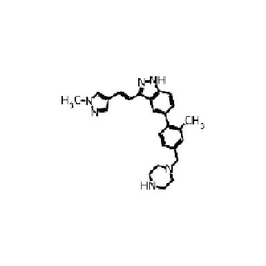 Cc1cc(CN2CCNCC2)ccc1-c1ccc2[nH]nc(/C=C/c3cnn(C)c3)c2c1